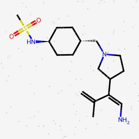 C=C(C)/C(=C\N)C1CCN(C[C@H]2CC[C@H](NS(C)(=O)=O)CC2)C1